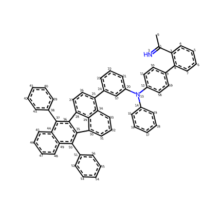 CC(=N)c1ccccc1-c1ccc(N(c2ccccc2)c2cccc(-c3ccc4c5c(cccc35)-c3c-4c(-c4ccccc4)c4ccccc4c3-c3ccccc3)c2)cc1